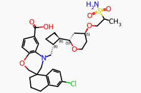 CC(CO[C@H]1CCO[C@H]([C@@H]2CC[C@H]2CN2CC3(CCCc4cc(Cl)ccc43)COc3ccc(C(=O)O)cc32)C1)S(N)(=O)=O